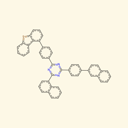 c1ccc2cc(-c3ccc(-c4nc(-c5ccc(-c6cccc7sc8ccccc8c67)cc5)nc(-c5cccc6ccccc56)n4)cc3)ccc2c1